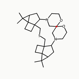 CC1(C)C2CC(N3CCOCC3)C3(CSCC45CCC46C(CC5N4CCOCC4)C6(C)C)CCC213